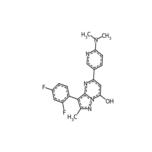 Cc1nn2c(O)cc(-c3ccc(N(C)C)nc3)nc2c1-c1ccc(F)cc1F